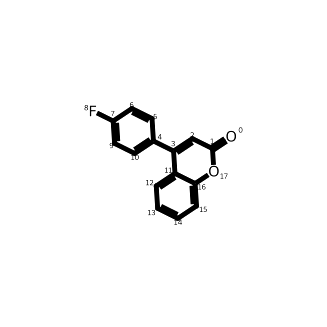 O=c1cc(-c2ccc(F)cc2)c2ccccc2o1